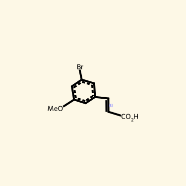 COc1cc(Br)cc(/C=C/C(=O)O)c1